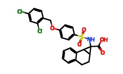 O=C(O)C1(NS(=O)(=O)c2ccc(OCc3ccc(Cl)cc3Cl)cc2)C2CCc3ccccc3C21